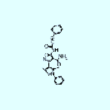 Cc1nn(-c2ccccc2)c(C)c1-c1noc(NC(=O)COc2ccccc2)c1C(N)=O